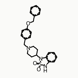 O=S1(=O)Nc2ccccc2N1C1CCN(Cc2ccc(OCc3ccccc3)cc2)CC1